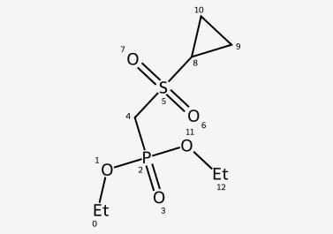 CCOP(=O)(CS(=O)(=O)C1CC1)OCC